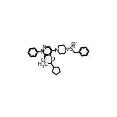 CC(Oc1c(N2CCN([S+]([O-])Cc3ccccc3)CC2)cnn(-c2ccccc2)c1=O)C1CCCC1